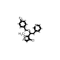 Cn1ncc(Cl)c1C(Cc1cccnc1)OCc1ccc(F)cc1